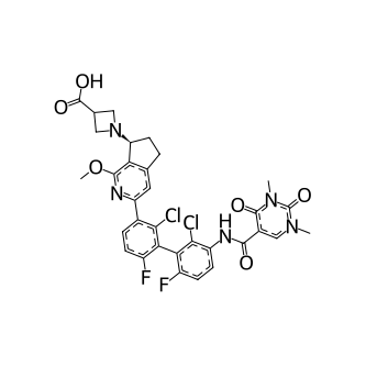 COc1nc(-c2ccc(F)c(-c3c(F)ccc(NC(=O)c4cn(C)c(=O)n(C)c4=O)c3Cl)c2Cl)cc2c1[C@@H](N1CC(C(=O)O)C1)CC2